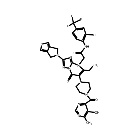 CCc1c(N2CCN(C(=O)c3ncnc(C)c3O)CC2)c(=O)n2nc(N3Cc4cocc4C3)nc2n1CC(=O)Nc1ccc(C(F)(F)F)cc1Cl